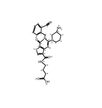 N#Cc1ccccc1Cn1c(N2CCCC(N)C2)nc2c(C(=O)NCCCC(=O)O)csc2c1=O